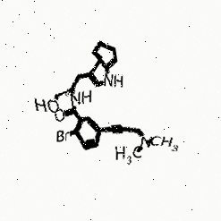 CN(C)CC#Cc1ccc(Br)c(C(=O)N[C@@H](CO)Cc2c[nH]c3ccccc23)c1